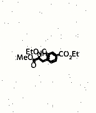 CCOC(=O)c1ccc(CC(N)C(=O)OC)c(C(=O)OCC)c1